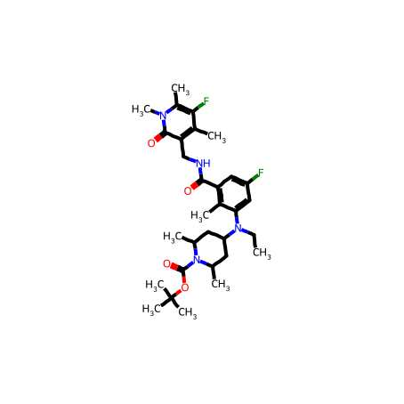 CCN(c1cc(F)cc(C(=O)NCc2c(C)c(F)c(C)n(C)c2=O)c1C)C1CC(C)N(C(=O)OC(C)(C)C)C(C)C1